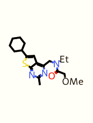 CCN(Cc1nc(C)nc2sc(C3CCCCC3)cc12)C(=O)COC